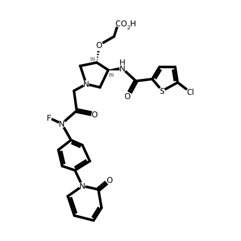 O=C(O)CO[C@H]1CN(CC(=O)N(F)c2ccc(-n3ccccc3=O)cc2)C[C@@H]1NC(=O)c1ccc(Cl)s1